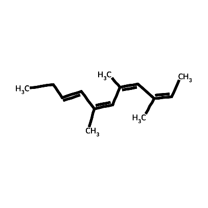 CC=C(C)C=C(C)C=C(C)C=CCC